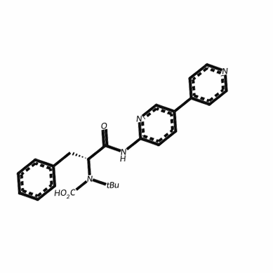 CC(C)(C)N(C(=O)O)[C@H](Cc1ccccc1)C(=O)Nc1ccc(-c2ccncc2)cn1